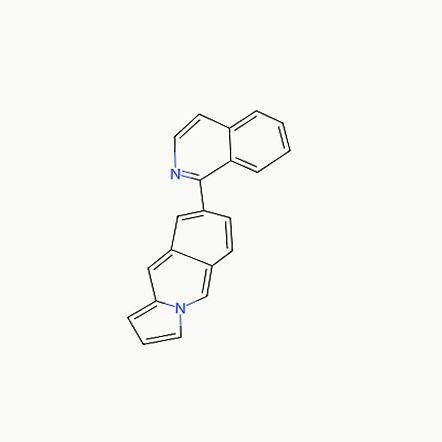 c1ccc2c(-c3ccc4cn5cccc5cc4c3)nccc2c1